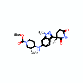 CO[C@@H]1CN(C(=O)OC(C)(C)C)CC[C@H]1Nc1ccc2c(C3(C)CCC(=O)NC3=O)nn(C)c2c1